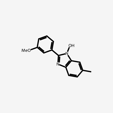 COc1cccc(-c2nc3ccc(C)cc3n2O)c1